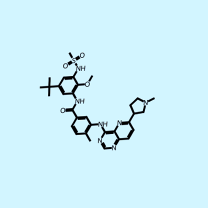 COc1c(NC(=O)c2ccc(C)c(Nc3ncnc4ccc(C5CCN(C)C5)nc34)c2)cc(C(C)(C)C)cc1NS(C)(=O)=O